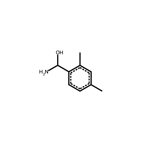 Cc1ccc(C(N)O)c(C)c1